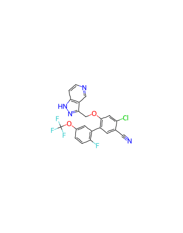 N#Cc1cc(-c2cc(OC(F)(F)F)ccc2F)c(OCc2n[nH]c3ccncc23)cc1Cl